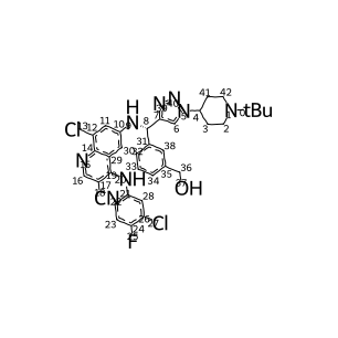 CC(C)(C)N1CCC(n2cc([C@@H](Nc3cc(Cl)c4ncc(C#N)c(Nc5ccc(F)c(Cl)c5)c4c3)c3cccc(CO)c3)nn2)CC1